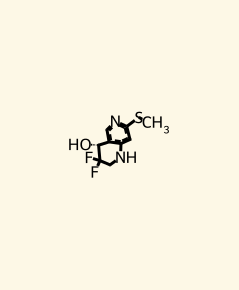 CSc1cc2c(cn1)[C@@H](O)C(F)(F)CN2